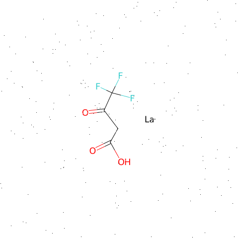 O=C(O)CC(=O)C(F)(F)F.[La]